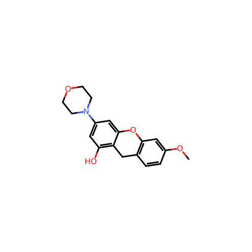 COc1ccc2c(c1)Oc1cc(N3CCOCC3)cc(O)c1C2